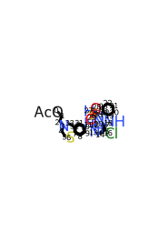 CC(=O)OCCN1CCSc2ccc(Nc3ncc(Cl)c(NC4CCCC[C@H]4NS(C)(=O)=O)n3)cc2C1